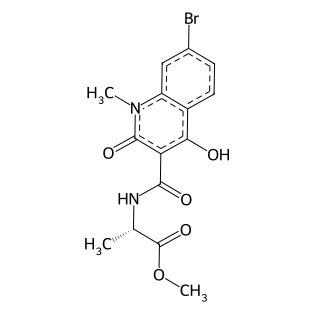 COC(=O)[C@H](C)NC(=O)c1c(O)c2ccc(Br)cc2n(C)c1=O